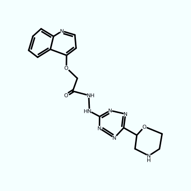 O=C(COc1ccnc2ccccc12)NNc1nnc(C2CNCCO2)nn1